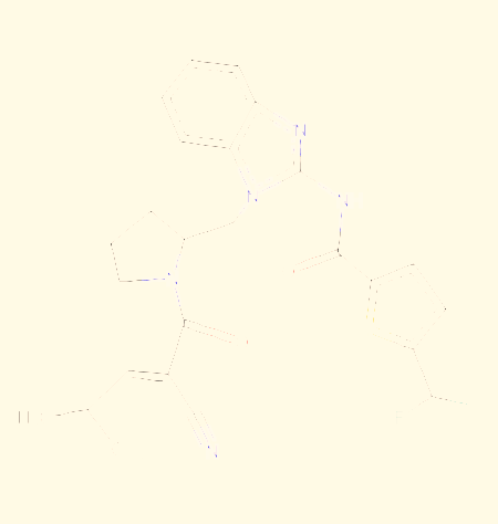 CC(C)/C=C(\C#N)C(=O)N1CCCC1Cn1c(NC(=O)c2ccc(C(F)F)s2)nc2ccccc21